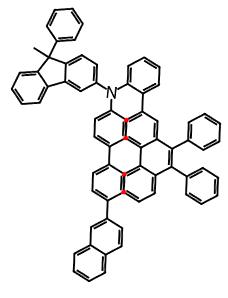 CC1(c2ccccc2)c2ccccc2-c2cc(N(c3ccc(-c4ccc(-c5ccc6ccccc6c5)cc4)cc3)c3ccccc3-c3ccc4c(c3)c(-c3ccccc3)c(-c3ccccc3)c3ccccc34)ccc21